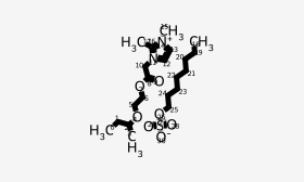 CCC(C)OCCOC(=O)Cn1cc[n+](C)c1C.CCCCCCCCOS(=O)(=O)[O-]